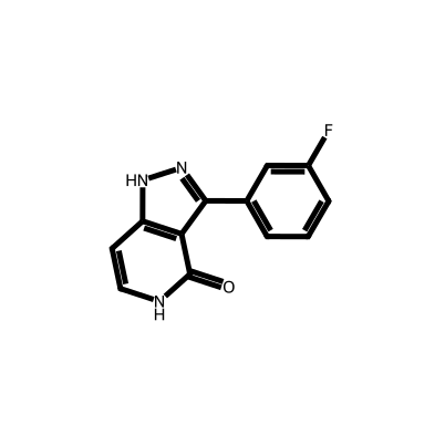 O=c1[nH]ccc2[nH]nc(-c3cccc(F)c3)c12